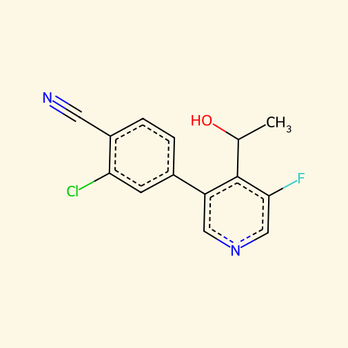 CC(O)c1c(F)cncc1-c1ccc(C#N)c(Cl)c1